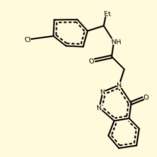 CCC(NC(=O)Cn1nnc2ccccc2c1=O)c1ccc(Cl)cc1